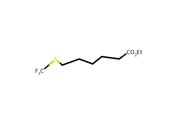 CCOC(=O)CCCCCSC(F)(F)F